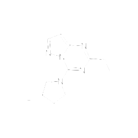 CSc1nc(N2CC[C@H](F)C2)n2nccc2n1